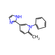 C=C1C=CC(c2ncc[nH]2)=CN1c1ccccc1